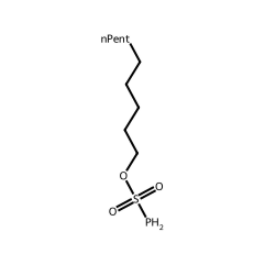 CCCCCCCCCCOS(=O)(=O)P